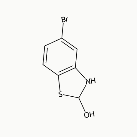 OC1Nc2cc(Br)ccc2S1